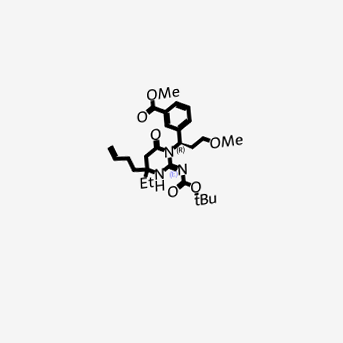 C=CCCC1(CC)CC(=O)N([C@H](CCOC)c2cccc(C(=O)OC)c2)/C(=N/C(=O)OC(C)(C)C)N1